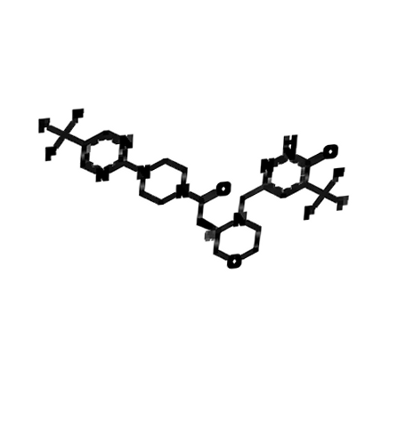 O=C(C[C@@H]1COCCN1Cc1cc(C(F)(F)F)c(=O)[nH]n1)N1CCN(c2ncc(C(F)(F)F)cn2)CC1